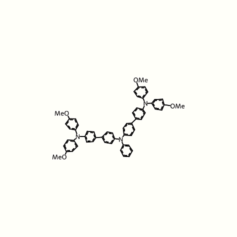 COc1ccc(N(c2ccc(OC)cc2)c2ccc(-c3ccc(N(c4ccccc4)c4ccc(-c5ccc(N(c6ccc(OC)cc6)c6ccc(OC)cc6)cc5)cc4)cc3)cc2)cc1